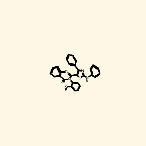 COc1ccccc1-n1c(-c2sc(Nc3ccccc3)nc2-c2ccccc2)nc2ccccc2c1=O